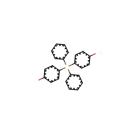 Oc1ccc(S(c2ccccc2)(c2ccccc2)c2ccc(O)cc2)cc1